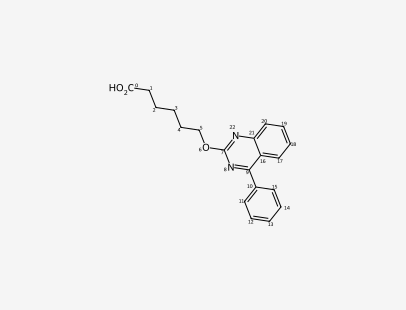 O=C(O)CCCCCOc1nc(-c2ccccc2)c2ccccc2n1